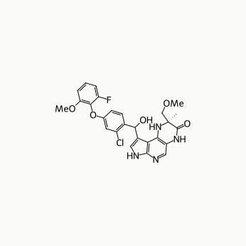 COC[C@]1(C)Nc2c(cnc3[nH]cc(C(O)c4ccc(Oc5c(F)cccc5OC)cc4Cl)c23)NC1=O